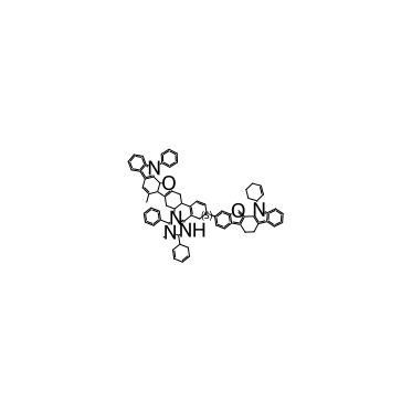 CC1=Cc2c(n(-c3ccccc3)c3ccccc23)C2OC3=C(CC(C)C(C4=C(C5=NC(c6ccccc6)N(C)C(C6C=CC=CC6)N5)C[C@H](c5ccc6c7c(oc6c5)-c5c(c6ccccc6n5C5C=CCCC5)CC7)C=C4)C3)C12